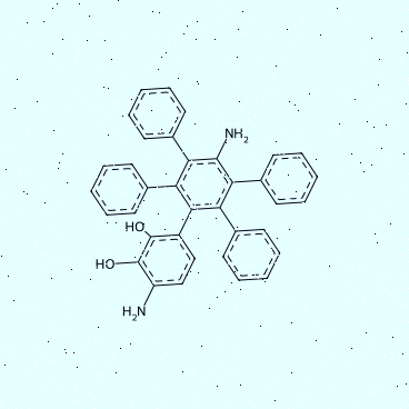 Nc1ccc(-c2c(-c3ccccc3)c(-c3ccccc3)c(N)c(-c3ccccc3)c2-c2ccccc2)c(O)c1O